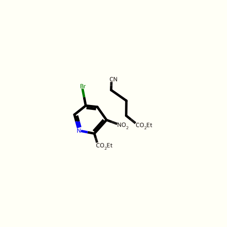 CCOC(=O)CCCC#N.CCOC(=O)c1ncc(Br)cc1[N+](=O)[O-]